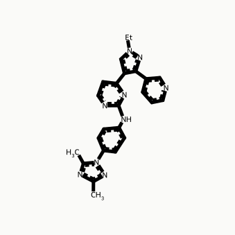 CCn1cc(-c2ccnc(Nc3ccc(-n4nc(C)nc4C)cc3)n2)c(-c2cccnc2)n1